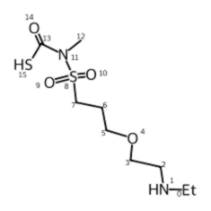 CCNCCOCCCS(=O)(=O)N(C)C(=O)S